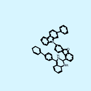 C1=CC2=C(c3ccc(C4=CCCC=C4)cc3)NC(c3cccc4oc5cc(-n6c7ccccc7c7ccc(-c8ccccc8)cc76)ccc5c34)NC2C=C1